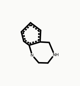 c1ccc2c(c1)CNCC[N]2